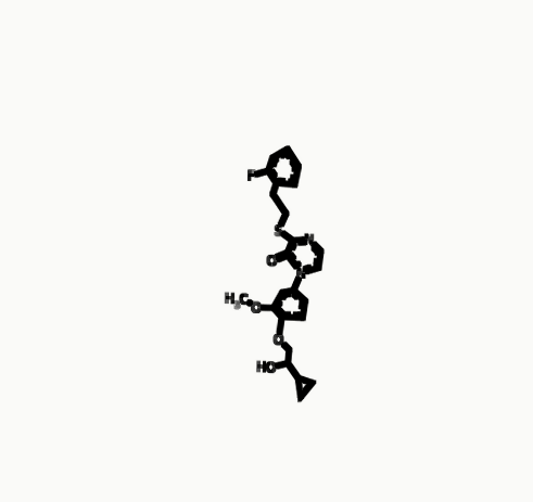 COc1cc(-n2ccnc(SCCc3ccccc3F)c2=O)ccc1OCC(O)C1CC1